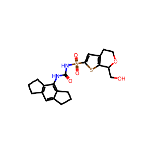 O=C(Nc1c2c(cc3c1CCC3)CCC2)NS(=O)(=O)c1cc2c(s1)C(CO)OCC2